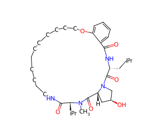 CC(C)C[C@H]1NC(=O)c2ccccc2OCCCCCCCCCCCNC(=O)[C@H](C(C)C)N(C)C(=O)[C@H]2C[C@H](O)CN2C1=O